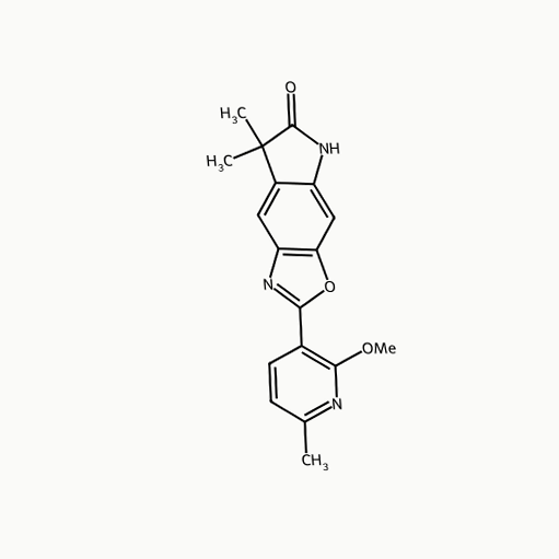 COc1nc(C)ccc1-c1nc2cc3c(cc2o1)NC(=O)C3(C)C